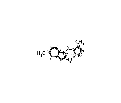 Cc1ccc2c(ccn2Cc2c(C)noc2C)c1